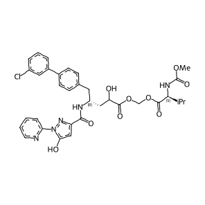 COC(=O)N[C@H](C(=O)OCOC(=O)C(O)C[C@@H](Cc1ccc(-c2cccc(Cl)c2)cc1)NC(=O)c1cc(O)n(-c2ccccn2)n1)C(C)C